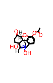 CC(=O)Oc1ccc2c3c1O[C@H]1C(=O)CC[C@@]4(O)[C@@H](C2)N(O)CC[C@]314